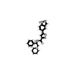 O=C(NC(CN1CCCCC1)c1ccccc1)c1cc(-c2ccc3[nH]ncc3c2)on1